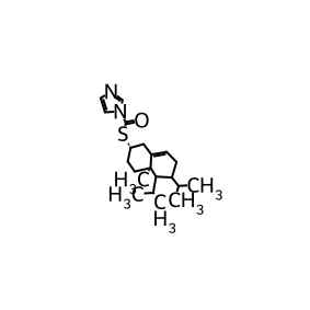 CC(C)C1CC=C2C[C@@H](SC(=O)n3ccnc3)CC[C@]2(C)C1C(C)C